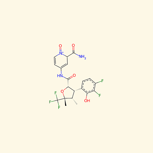 C[C@H]1[C@@H](c2ccc(F)c(F)c2O)[C@@H](C(=O)NC2=CC(C(N)=O)[N+](=O)C=C2)O[C@@]1(C)C(F)(F)F